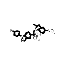 Cc1cc2cc([N+](=O)[O-])ccc2n1CC(O)(c1ccc2c(cnn2-c2ccc(F)cc2)c1)C(F)(F)F